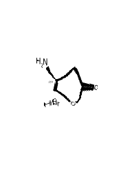 Br.N[C@@H]1COC(=O)C1